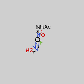 CC(=O)NC[C@H]1CN(c2ccc(N3C=NN(CC(C)O)CC3)c(F)c2)C(=O)O1